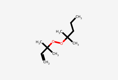 C=CC(C)(C)OOC(C)(C)CCC